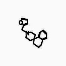 c1coc(CN2CCC3(CCCc4ccccc43)CC2)c1